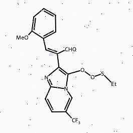 CCSOOc1c(/C(C=O)=C/c2ccccc2OC)nc2ccc(C(F)(F)F)cn12